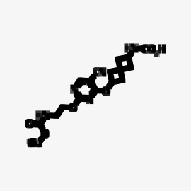 CC(C)(C)OC(=O)NCCOc1ncc(C#N)c(OC2CC3(CC(NC(=O)O)C3)C2)n1